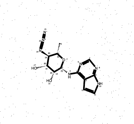 C[C@@H]1O[C@H](Nc2ncnc3[nH]ccc23)[C@H](O)[C@H](O)[C@H]1N=[N+]=[N-]